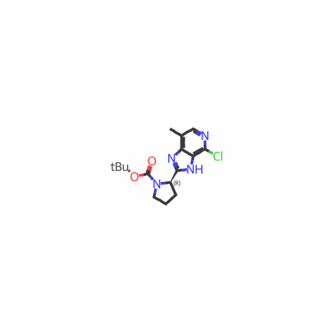 Cc1cnc(Cl)c2[nH]c([C@H]3CCCN3C(=O)OC(C)(C)C)nc12